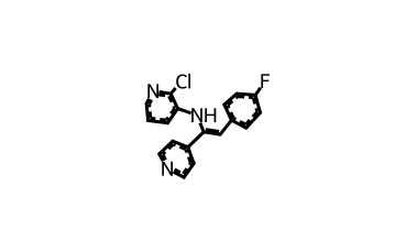 Fc1ccc(C=C(Nc2cccnc2Cl)c2ccncc2)cc1